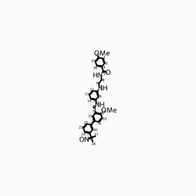 COc1ccc(C(=O)NCCNc2cccc(NSc3cc(-c4cccc(C(C)(C)N=O)c4)ccc3OC)c2)cc1